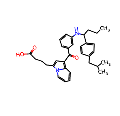 CCCC(Nc1cccc(C(=O)c2cc(CCCC(=O)O)n3ccccc23)c1)c1ccc(CC(C)C)cc1